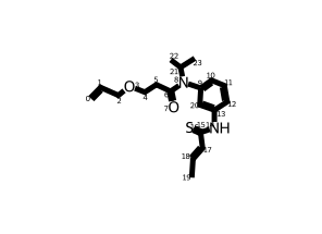 C=CCOCCC(=O)N(c1cccc(NC(=S)/C=C/C)c1)C(C)C